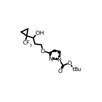 CC(C)(C)OC(=O)n1ccc(OCCC(O)C2(C(F)(F)F)CC2)n1